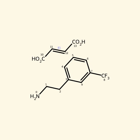 NCCc1cccc(C(F)(F)F)c1.O=C(O)/C=C/C(=O)O